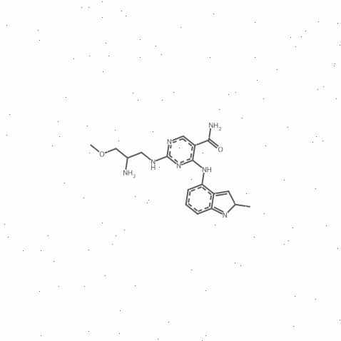 COCC(N)CNc1ncc(C(N)=O)c(Nc2cccc3c2=CC(C)N=3)n1